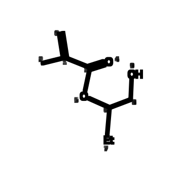 C=C(C)C(=O)OC(CC)CO